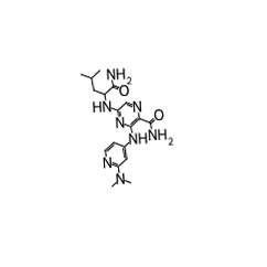 CC(C)CC(Nc1cnc(C(N)=O)c(Nc2ccnc(N(C)C)c2)n1)C(N)=O